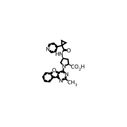 Cc1nc(N2C[C@@H](NC(=O)C3(c4ccncc4)CC3)C[C@H]2C(=O)O)c2oc3ccccc3c2n1